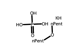 CCCCCOCCCCC.O=P(O)(O)O.[KH]